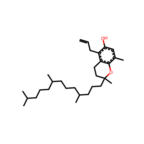 C=CCc1c(O)cc(C)c2c1CCC(C)(CCCC(C)CCCC(C)CCCC(C)C)O2